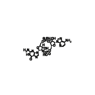 Nc1nc2c(ncn2[C@@H]2OC3COP(=O)(O)O[C@@H]4C(COP(=O)(O)O[C@@H]2[C@@H]3O)O[C@@H](n2cnc3c(N)ccnc32)[C@@H]4O)c(=O)[nH]1